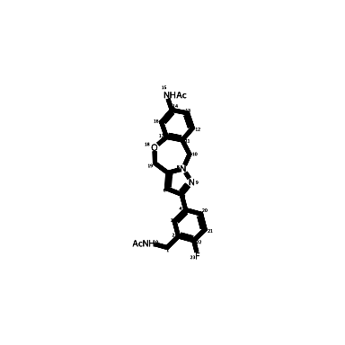 CC(=O)NCc1cc(-c2cc3n(n2)Cc2ccc(NC(C)=O)cc2OC3)ccc1F